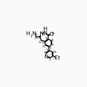 CCc1cncc(-c2ccc3c(c2)CC(CN)=NNC3=O)c1